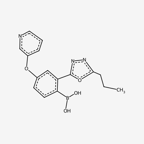 CCCc1nnc(-c2cc(Oc3cccnc3)ccc2B(O)O)o1